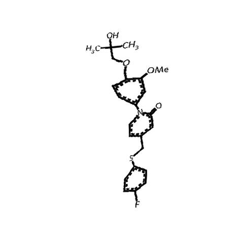 COc1cc(-n2ccc(CSc3ccc(F)cc3)cc2=O)ccc1OCC(C)(C)O